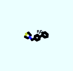 FC(F)(F)c1ccccc1-c1ccc(CN2CCSCC2)cc1